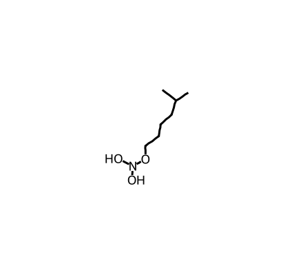 CC(C)CCCCON(O)O